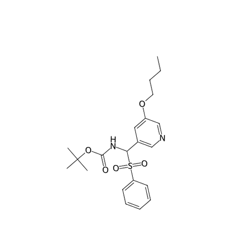 CCCCOc1cncc(C(NC(=O)OC(C)(C)C)S(=O)(=O)c2ccccc2)c1